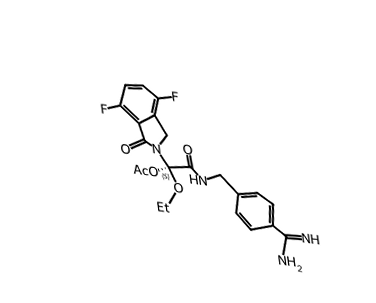 CCO[C@](OC(C)=O)(C(=O)NCc1ccc(C(=N)N)cc1)N1Cc2c(F)ccc(F)c2C1=O